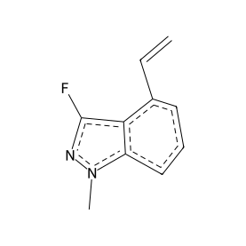 C=Cc1cccc2c1c(F)nn2C